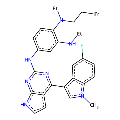 CCNc1cc(Nc2nc(-c3cn(C)c4ccc(F)cc34)c3cc[nH]c3n2)ccc1N(CC)CCC(C)C